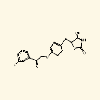 O=C1NC(O)C(CC2=CC=C(OCC(=O)c3cccc(F)c3)CC2)S1